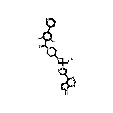 N#CCC1(n2cc(-c3ncnc4[nH]ccc34)cn2)CN(C2CCN(C(=O)c3c(F)cc(-c4cccnc4)cc3F)CC2)C1